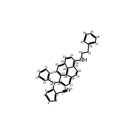 N#Cc1ccccc1N(c1ccccc1)c1ccc2ccc3c(NCCc4ccccc4)ccc4ccc1c2c43